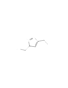 CC(C)C[C]1C=C(CC(C)C)N=N1